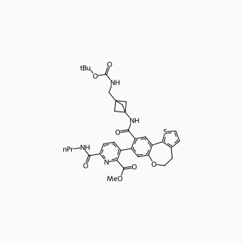 CCCNC(=O)c1ccc(-c2cc3c(cc2C(=O)NC24CC(CNC(=O)OC(C)(C)C)(C2)C4)-c2sccc2CCO3)c(C(=O)OC)n1